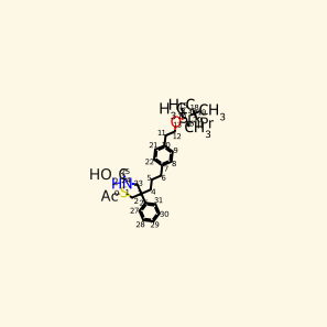 CC(=O)SCC(CCCc1ccc(CCO[Si](C)(C)C(C)(C)C(C)C)cc1)(CNC(=O)O)c1ccccc1